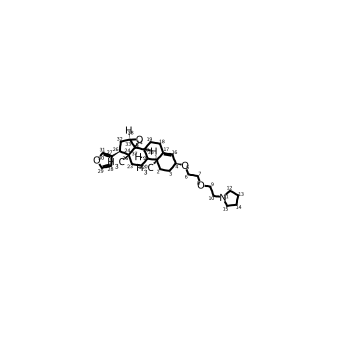 C[C@]12CC[C@H](OCCOCCN3CCCC3)C=C1CC[C@@H]1[C@@H]2CC[C@]2(C)[C@@H](c3ccoc3)C[C@H]3O[C@]132